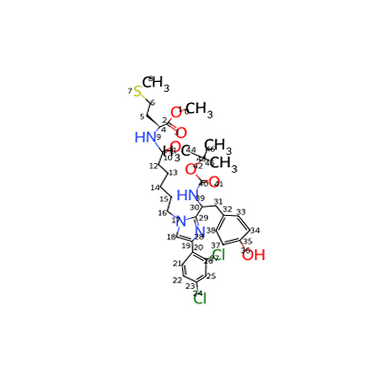 COC(=O)[C@H](CCSC)NC(=O)CCCCCn1cc(-c2ccc(Cl)cc2Cl)nc1C(Cc1ccc(O)cc1)NC(=O)OC(C)(C)C